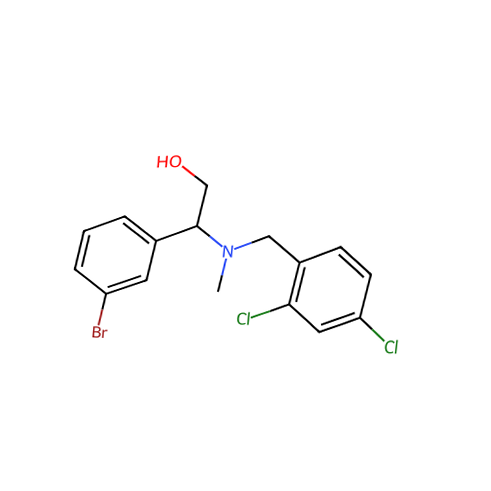 CN(Cc1ccc(Cl)cc1Cl)C(CO)c1cccc(Br)c1